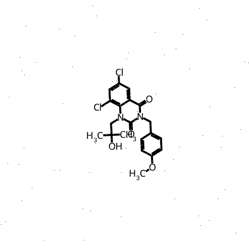 COc1ccc(Cn2c(=O)c3cc(Cl)cc(Cl)c3n(CC(C)(C)O)c2=O)cc1